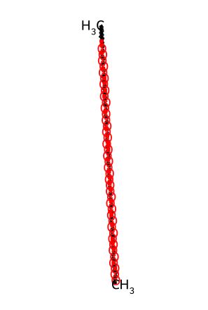 CCCCCCCCCCCCOCCOCCOCCOCCOCCOCCOCCOCCOCCOCCOCCOCCOCCOCCOCCOCCOCCOCCOCCOCCOCCOCCOCCOCCOCCOCCOCCOCCOCCOCCOCCOCCOCCOCCOCCOCCOCCOCCOCCOCC